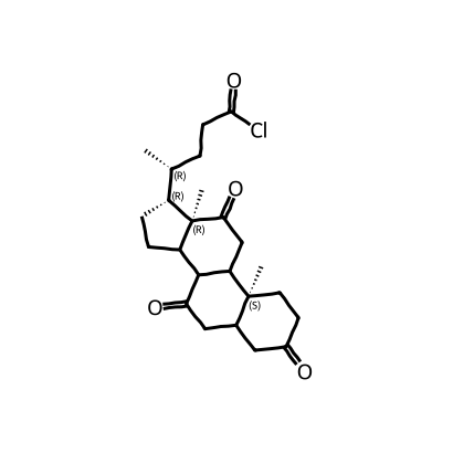 C[C@H](CCC(=O)Cl)[C@H]1CCC2C3C(=O)CC4CC(=O)CC[C@]4(C)C3CC(=O)[C@@]21C